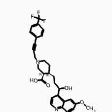 COc1ccc2nccc(C(O)CC[C@@H]3CCN(CC#Cc4ccc(C(F)(F)F)cc4)C[C@@H]3C(=O)O)c2c1